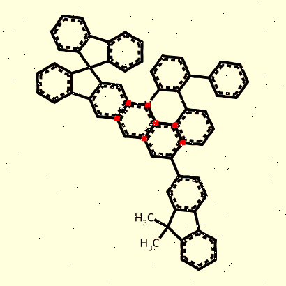 CC1(C)c2ccccc2-c2ccc(-c3ccc(N(c4ccc5c(c4)C4(c6ccccc6-c6ccccc64)c4ccccc4-5)c4cccc(-c5ccccc5)c4-c4ccccc4-c4ccccc4)cc3)cc21